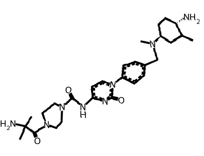 CC1C[C@@H](N(C)Cc2ccc(-n3ccc(NC(=O)N4CCN(C(=O)C(C)(C)N)CC4)nc3=O)cc2)CC[C@@H]1N